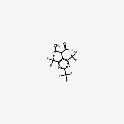 CC(=O)C(C(C)=O)c1c(C(F)(F)F)nc(C(F)(F)F)nc1C(F)(F)F